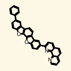 c1ccc(-c2ccc3oc4c(ccc5c6cc(-c7ccc8ccc9cccnc9c8n7)ccc6oc54)c3c2)cc1